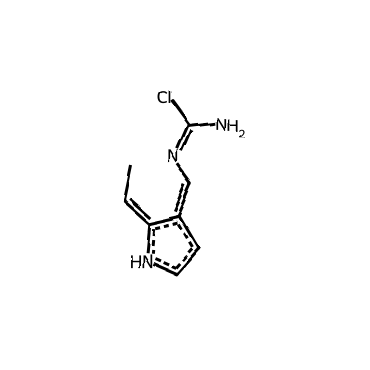 C/C=c1/[nH]cc/c1=C/N=C(\N)Cl